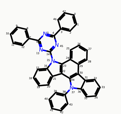 c1ccc(-c2nc(-c3ccccc3)nc(-n3c4ccccc4c4c3c3ccccc3c3c5ccccc5n(-c5ccccc5)c34)n2)cc1